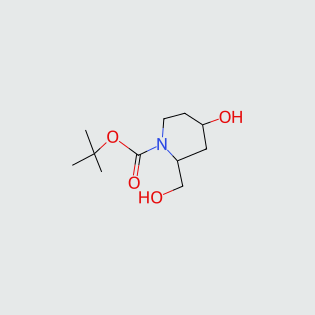 CC(C)(C)OC(=O)N1CCC(O)CC1CO